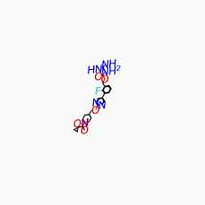 N=C(N)NC(=O)OCc1cccc(-c2cnc(OCC3CCN(C(=O)C4(O)CC4)CC3)nc2)c1F